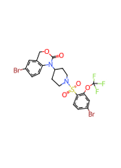 O=C1OCc2cc(Br)ccc2N1C1CCN(S(=O)(=O)c2ccc(Br)cc2OC(F)(F)F)CC1